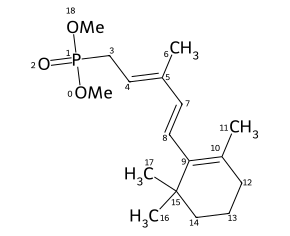 COP(=O)(CC=C(C)C=CC1=C(C)CCCC1(C)C)OC